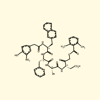 Cc1cccc(C)c1C(=O)OCC(=O)[C@H](CC(=O)O)NC(=O)[C@@H](NC(=O)[C@H](Cc1ccccn1)NC(=O)[C@H](Cc1ccc2ccccc2c1)NC(=O)Cc1ccc(O)c([N+](=O)[O-])c1)C(C)C